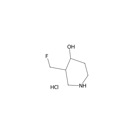 Cl.OC1CCNCC1CF